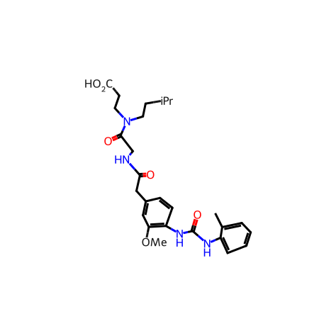 COc1cc(CC(=O)NCC(=O)N(CCC(=O)O)CCC(C)C)ccc1NC(=O)Nc1ccccc1C